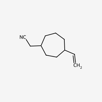 C=CC1CCCC(CC#N)CC1